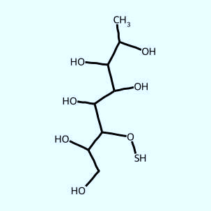 CC(O)C(O)C(O)C(O)C(OS)C(O)CO